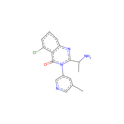 Cc1cncc(-n2c(C(C)N)nc3cccc(Cl)c3c2=O)c1